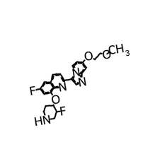 COCCOc1ccn2c(-c3ccc4cc(F)cc(OC5CCNCC5F)c4n3)cnc2c1